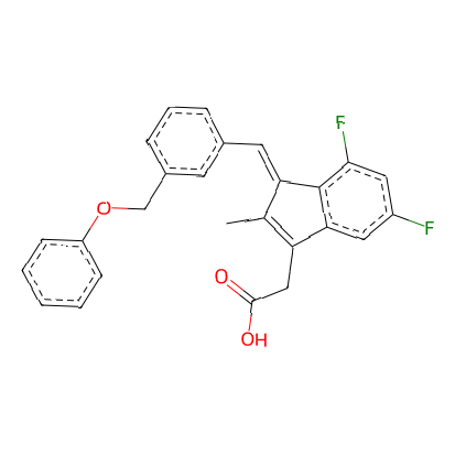 CC1=C(CC(=O)O)c2cc(F)cc(F)c2/C1=C/c1cccc(COc2ccccc2)c1